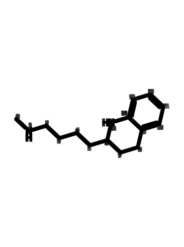 CNCCCCC1CCc2ccccc2N1